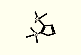 C[Si](C)(C)C1=[C]([Zr]([CH3])([CH3])[CH3])CC=C1